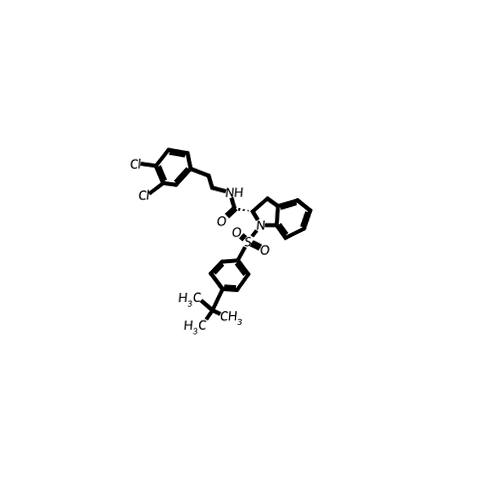 CC(C)(C)c1ccc(S(=O)(=O)N2c3ccccc3C[C@H]2C(=O)NCCc2ccc(Cl)c(Cl)c2)cc1